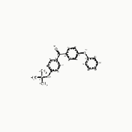 C[Si](C)(C)Oc1ccc(C(=O)c2ccc(Oc3ccccc3)cc2)cc1